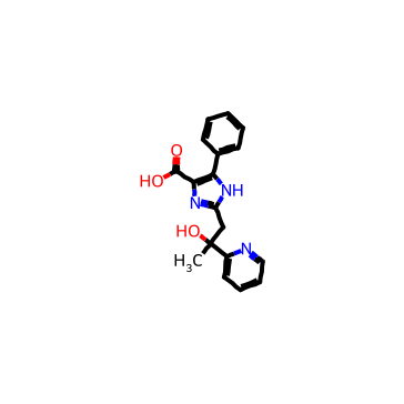 CC(O)(Cc1nc(C(=O)O)c(-c2ccccc2)[nH]1)c1ccccn1